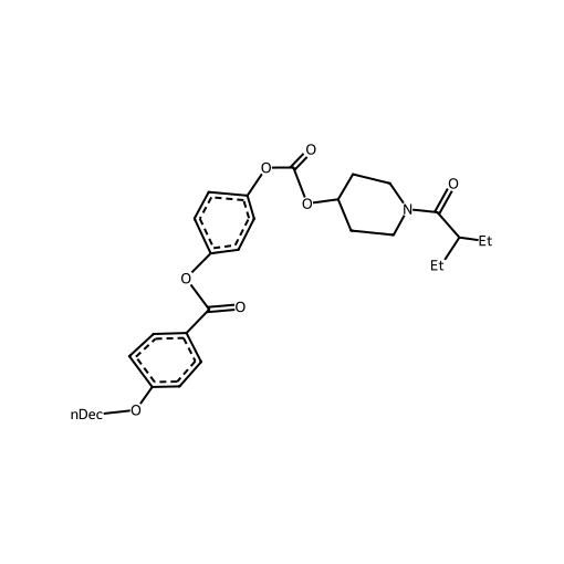 CCCCCCCCCCOc1ccc(C(=O)Oc2ccc(OC(=O)OC3CCN(C(=O)C(CC)CC)CC3)cc2)cc1